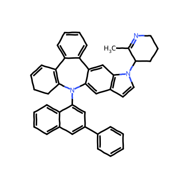 CC1=NCCCC1n1ccc2cc3c(cc21)-c1ccccc1C1=C(CCC=C1)N3c1cc(-c2ccccc2)cc2ccccc12